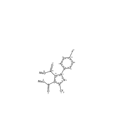 COC(=O)c1c(C(F)(F)F)nn(-c2ccc(F)cc2)c1C(=O)OC